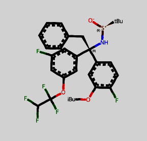 CCC(C)Oc1cc([C@@](Cc2ccccc2)(N[S@@+]([O-])C(C)(C)C)c2cc(F)cc(OC(F)(F)C(F)F)c2)ccc1F